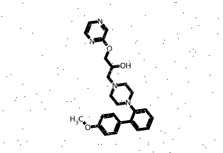 COc1ccc(-c2ccccc2N2CCN(CC(O)COc3cnccn3)CC2)cc1